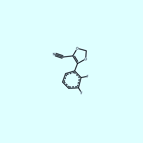 N#CC1=C(c2cccc(F)c2F)OCO1